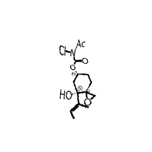 CC=C(C)[C@@]1(O)C[C@H](OC(=O)N(Cl)C(C)=O)CC[C@]12CO2